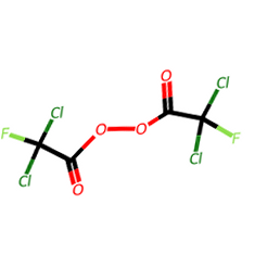 O=C(OOC(=O)C(F)(Cl)Cl)C(F)(Cl)Cl